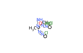 Cc1c(CN2CCN(c3ccccc3Cl)CC2)cc(C(=O)N2CCN(c3ccccc3)CC2C)n1CCCN.Cl.Cl